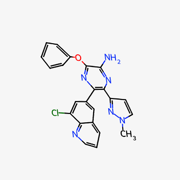 Cn1ccc(-c2nc(N)c(Oc3ccccc3)nc2-c2cc(Cl)c3ncccc3c2)n1